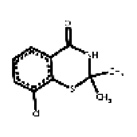 CC1(C)NC(=O)c2cccc(Cl)c2S1